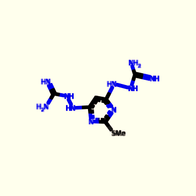 CSc1nc(NNC(=N)N)cc(NNC(=N)N)n1